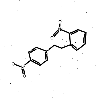 O=[N+]([O-])c1ccc(C[CH]c2ccccc2[N+](=O)[O-])cc1